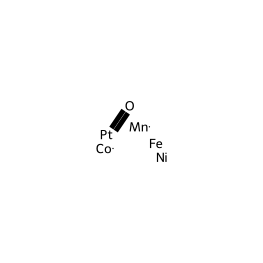 [Co].[Fe].[Mn].[Ni].[O]=[Pt]